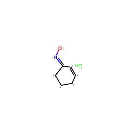 Cl.ON=C1C=CCCC1